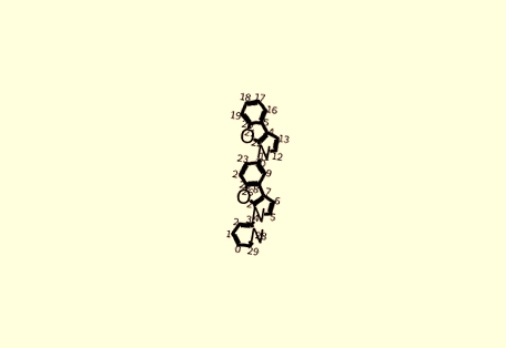 c1ccc(-n2ccc3c4cc(-n5ccc6c7ccccc7oc65)ccc4oc32)nc1